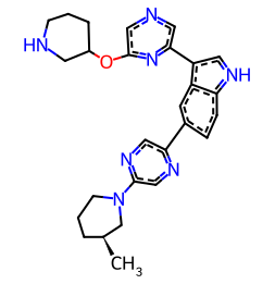 C[C@H]1CCCN(c2cnc(-c3ccc4[nH]cc(-c5cncc(OC6CCCNC6)n5)c4c3)cn2)C1